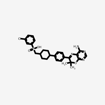 CC1(C)Oc2ncnc(N)c2N=C1c1ccc(C2CCC(CP(=O)(O)c3cccc(Cl)c3)CC2)cc1